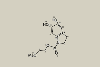 COCCOC(=O)N1CCc2cc(O)c(O)cc21